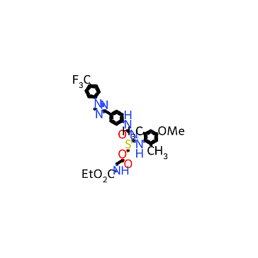 CCOC(=O)NCC(=O)OCS/C(=N\C(=O)Nc1ccc(-c2ncn(-c3ccc(C(F)(F)F)cc3)n2)cc1)Nc1c(C)cc(OC)cc1C